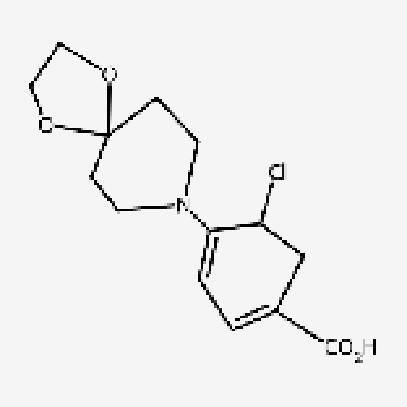 O=C(O)C1=CC=C(N2CCC3(CC2)OCCO3)C(Cl)C1